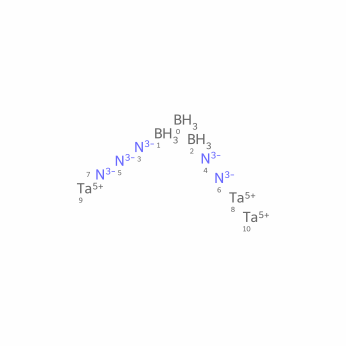 B.B.B.[N-3].[N-3].[N-3].[N-3].[N-3].[Ta+5].[Ta+5].[Ta+5]